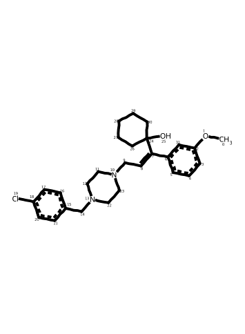 COc1cccc(/C(=C/CN2CCN(Cc3ccc(Cl)cc3)CC2)C2(O)CCCCC2)c1